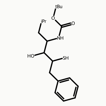 CC(C)CC(NC(=O)OC(C)(C)C)C(O)C(S)Cc1ccccc1